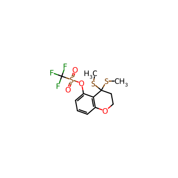 CSC1(SC)CCOc2cccc(OS(=O)(=O)C(F)(F)F)c21